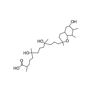 CC(CCCC(C)(O)CCCC(C)(O)CCCC1(C)CCC2CC(O)C(C)C(C)C2O1)C(=O)O